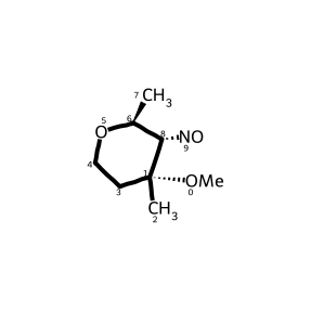 CO[C@]1(C)CCO[C@@H](C)[C@@H]1N=O